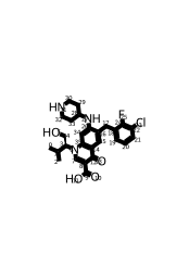 CC(C)[C@@H](CO)n1cc(C(=O)O)c(=O)c2cc(Cc3cccc(Cl)c3F)c(NC3CCNCC3)cc21